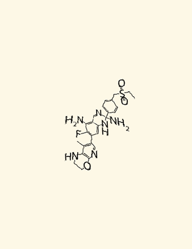 CCS(=O)(=O)Cc1ccc(C2(N)N=Cc3c(cc(-c4cnc5c(c4C)NCCO5)c(F)c3N)N2)cc1